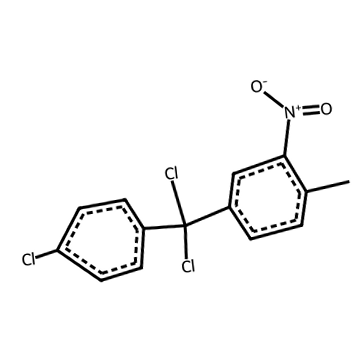 Cc1ccc(C(Cl)(Cl)c2ccc(Cl)cc2)cc1[N+](=O)[O-]